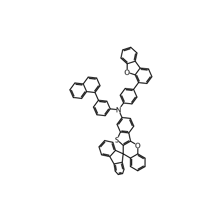 c1cc(-c2cccc3ccccc23)cc(N(c2ccc(-c3cccc4c3oc3ccccc34)cc2)c2ccc3c4c(sc3c2)C2(c3ccccc3O4)c3ccccc3-c3ccccc32)c1